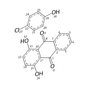 O=C1c2ccccc2C(=O)c2c(O)ccc(O)c21.Oc1ccc(Cl)cc1